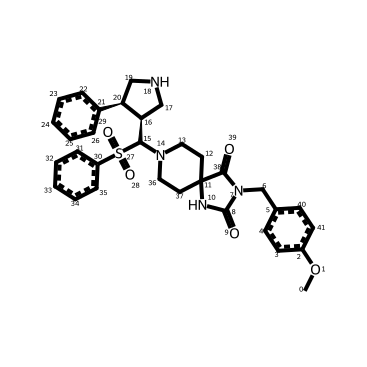 COc1ccc(CN2C(=O)NC3(CCN(C([C@@H]4CNC[C@@H]4c4ccccc4)S(=O)(=O)c4ccccc4)CC3)C2=O)cc1